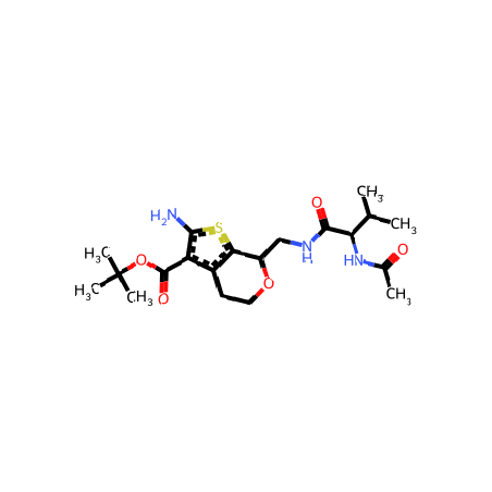 CC(=O)NC(C(=O)NCC1OCCc2c1sc(N)c2C(=O)OC(C)(C)C)C(C)C